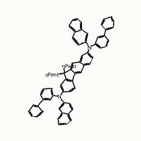 CCCCCC1(CCCCC)c2cc(N(c3cccc(-c4ccccc4)c3)c3ccc4ccccc4c3)ccc2-c2cc3ccc(N(c4cccc(-c5ccccc5)c4)c4ccc5ccccc5c4)cc3cc21